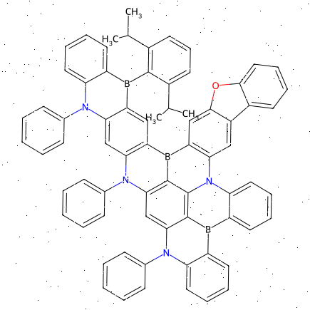 CC(C)c1cccc(C(C)C)c1B1c2ccccc2N(c2ccccc2)c2cc3c(cc21)B1c2cc4oc5ccccc5c4cc2N2c4ccccc4B4c5ccccc5N(c5ccccc5)c5cc(c1c2c54)N3c1ccccc1